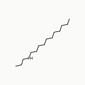 CCCCCCCCCCCPCCC